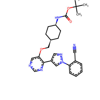 CC(C)(C)OC(=O)N[C@H]1CC[C@@H](COc2cncnc2-c2cnn(-c3ccccc3C#N)c2)CC1